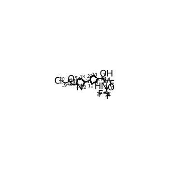 O=C(N[C@H](CF)[C@H](O)c1ccc(-c2ccc(C[S+]([O-])CCl)nc2)cc1)C(F)F